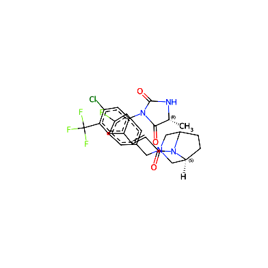 C[C@H]1NC(=O)N(c2cc(Cl)c(C(F)(F)F)cc2C=CC(=O)N2C3CC[C@H]2CN(Cc2ccc(F)cc2)C3)C1=O